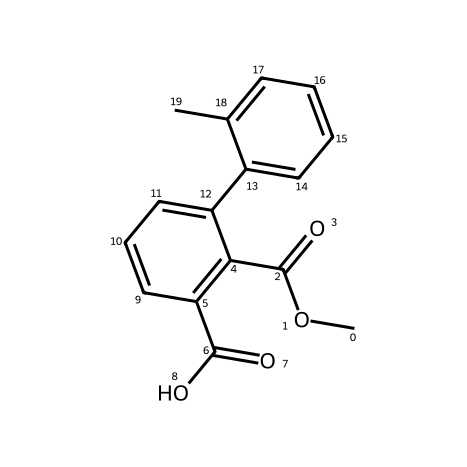 COC(=O)c1c(C(=O)O)cccc1-c1ccccc1C